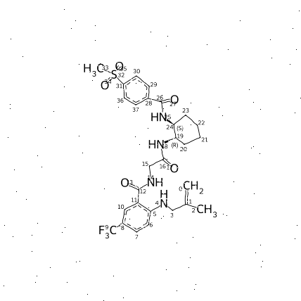 C=C(C)CNc1ccc(C(F)(F)F)cc1C(=O)NCC(=O)N[C@@H]1CCCC[C@@H]1NC(=O)c1ccc(S(C)(=O)=O)cc1